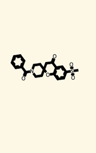 CS(=O)(=O)c1ccc2c(c1)C(=O)CC1(CCN(C(=O)c3ccccc3)CC1)O2